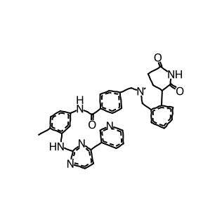 Cc1ccc(NC(=O)c2ccc(CN(C)Cc3ccccc3C3CCC(=O)NC3=O)cc2)cc1Nc1nccc(-c2cccnc2)n1